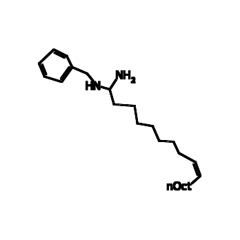 CCCCCCCC/C=C\CCCCCCCC(N)NCc1ccccc1